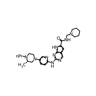 CCCN1CCN(c2ccc(Nc3ncc4cc(C(=O)NCN5CCCCC5)[nH]c4n3)nc2)C[C@H]1C